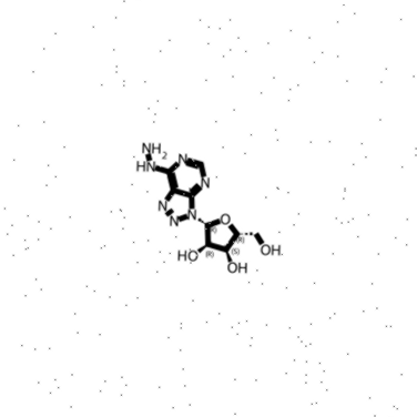 NNc1ncnc2c1nnn2[C@@H]1O[C@H](CO)[C@@H](O)[C@H]1O